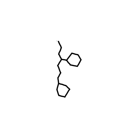 [CH2]CCC(CCCC1CCCCC1)C1CCCCC1